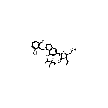 CCn1c(CO)nn(-c2cc3c(c(OC(C)C(F)(F)F)c2)N(Cc2c(F)cccc2Cl)CC3)c1=O